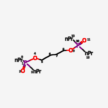 CCCP(=O)(CCC)OCCCCOP(=O)(CCC)CCC